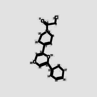 O=C(CCl)N1CC=C(C2=COC=C(C3=CC=CCC3)O2)CC1